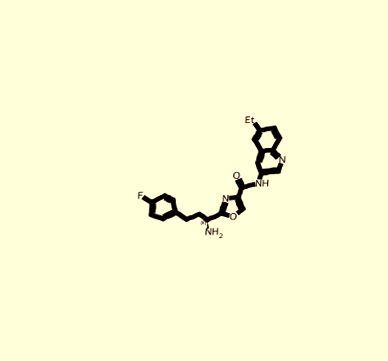 CCc1ccc2ncc(NC(=O)c3coc([C@H](N)CCc4ccc(F)cc4)n3)cc2c1